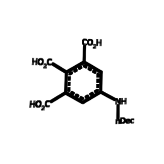 CCCCCCCCCCNc1cc(C(=O)O)c(C(=O)O)c(C(=O)O)c1